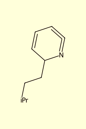 CC(C)CCC1C=CC=C=N1